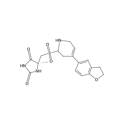 C[C@]1(CS(=O)(=O)C2CC(c3ccc4c(c3)CCO4)=CCN2)NC(=O)NC1=O